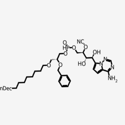 CCCCCCCCCCCCCCCCCCOC[C@H](CO[PH](=O)OC[C@@H](OC#N)[C@@H](O)[C@@H](O)c1ccc2c(N)ncnn12)OCc1ccccc1